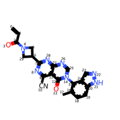 C=CC(=O)N1CC(c2nc(C#N)c3c(=O)n(-c4c(C)ccc5[nH]ncc45)cnc3n2)C1